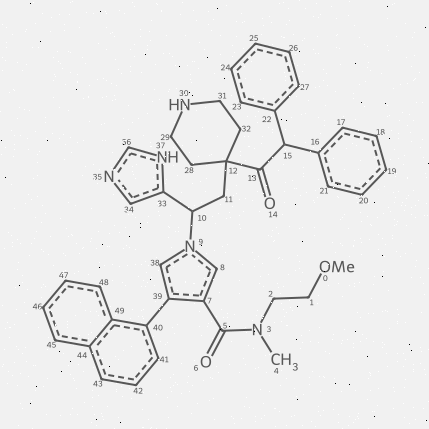 COCCN(C)C(=O)c1cn(C(CC2(C(=O)C(c3ccccc3)c3ccccc3)CCNCC2)c2cnc[nH]2)cc1-c1cccc2ccccc12